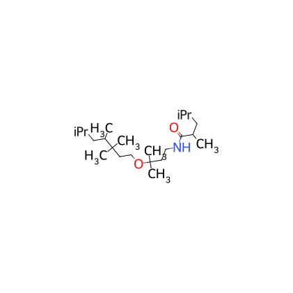 CC(C)CC(C)C(=O)NCCC(C)(C)OCCC(C)(C)C(C)CC(C)C